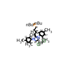 CCCCP(CCCC)CCCC=C1N(c2c(C)cc(C)cc2C)CCN1c1c(C)cc(C)cc1C.[Cl][Ru][Cl]